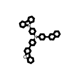 c1ccc2cc(-c3ccc(N(c4ccc(-c5ccc6oc7ccccc7c6c5)cc4)c4ccc(-n5c6ccccc6c6ccccc65)cc4)cc3)ccc2c1